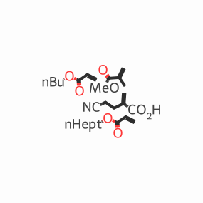 C=C(C)C(=O)OC.C=C(CCC#N)C(=O)O.C=CC(=O)OCCCC.C=CC(=O)OCCCCCCC